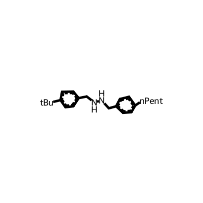 CCCCCc1ccc(CNNCc2ccc(C(C)(C)C)cc2)cc1